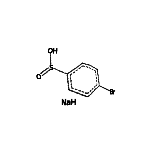 O=S(O)c1ccc(Br)cc1.[NaH]